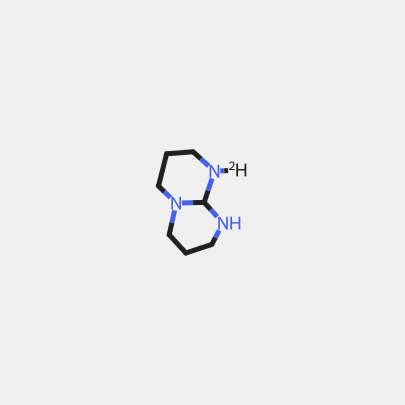 [2H]N1CCCN2CCCNC12